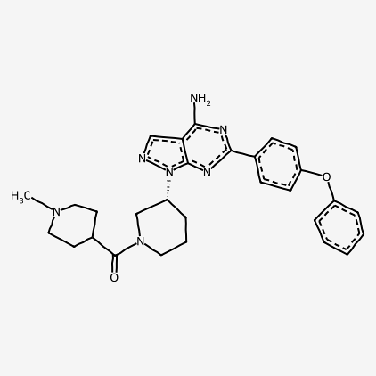 CN1CCC(C(=O)N2CCC[C@@H](n3ncc4c(N)nc(-c5ccc(Oc6ccccc6)cc5)nc43)C2)CC1